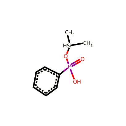 C[SiH](C)OP(=O)(O)c1ccccc1